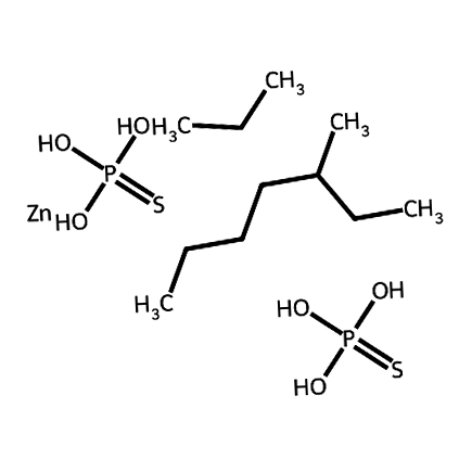 CCC.CCCCC(C)CC.OP(O)(O)=S.OP(O)(O)=S.[Zn]